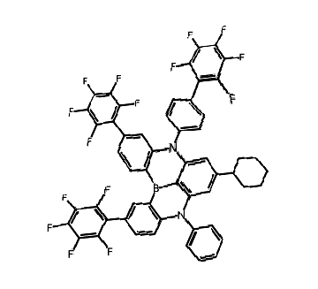 Fc1c(F)c(F)c(-c2ccc(N3c4cc(-c5c(F)c(F)c(F)c(F)c5F)ccc4B4c5cc(-c6c(F)c(F)c(F)c(F)c6F)ccc5N(c5ccccc5)c5cc(C6CCCCC6)cc3c54)cc2)c(F)c1F